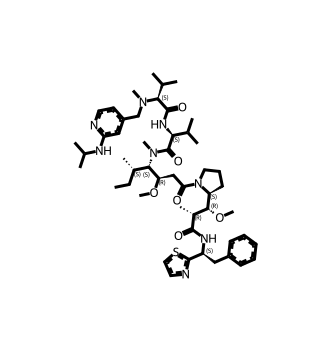 CC[C@H](C)[C@@H]([C@@H](CC(=O)N1CCC[C@H]1[C@H](OC)[C@@H](C)C(=O)N[C@@H](Cc1ccccc1)c1nccs1)OC)N(C)C(=O)[C@@H](NC(=O)[C@H](C(C)C)N(C)Cc1ccnc(NC(C)C)c1)C(C)C